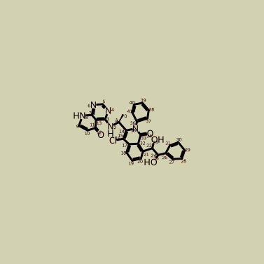 C[C@H](Nc1ncnc2[nH]ccc(=O)c12)c1c(Cl)c2cccc(C(O)C(O)c3ccccc3)c2c(=O)n1-c1ccccc1